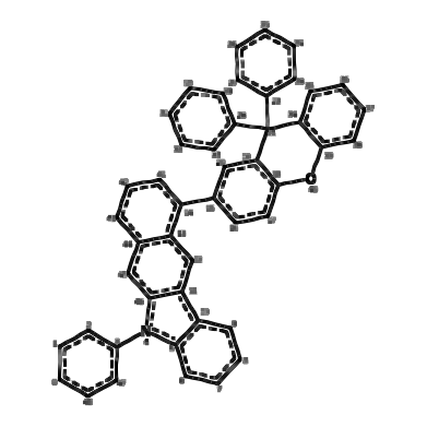 c1ccc(-n2c3ccccc3c3cc4c(-c5ccc6c(c5)C(c5ccccc5)(c5ccccc5)c5ccccc5O6)cccc4cc32)cc1